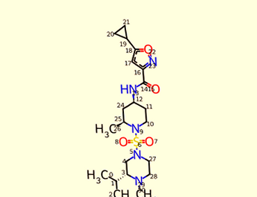 CC(C)[C@@H]1CN(S(=O)(=O)N2CC[C@H](NC(=O)c3cc(C4CC4)on3)C[C@@H]2C)CCN1C